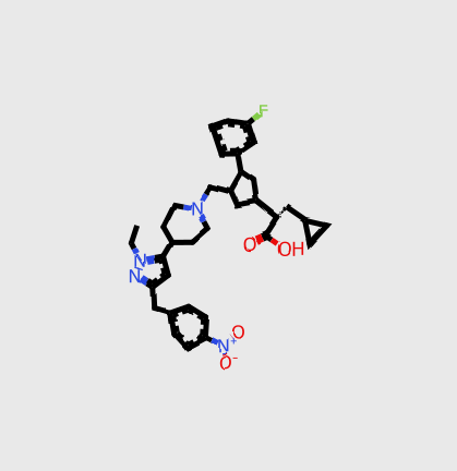 CCn1nc(Cc2ccc([N+](=O)[O-])cc2)cc1C1CCN(CC2CC([C@H](CC3CC3)C(=O)O)CC2c2cccc(F)c2)CC1